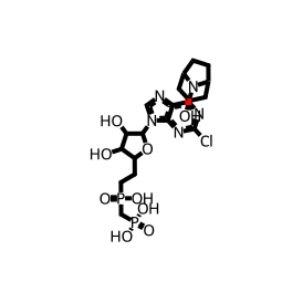 O=P(O)(O)CP(=O)(O)CCC1OC(n2cnc3c(N4C5CCC4CC(O)C5)nc(Cl)nc32)C(O)C1O